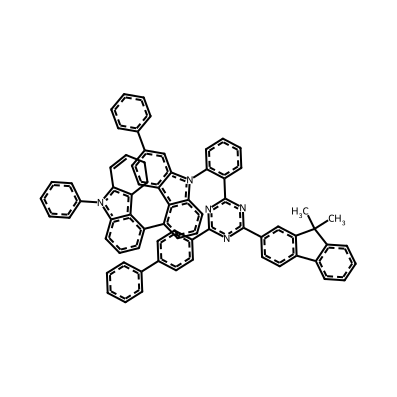 CC1(C)c2ccccc2-c2ccc(-c3nc(-c4ccc(-c5ccccc5)cc4)nc(-c4ccccc4-n4c5cc(-c6ccccc6)ccc5c5c(-c6cccc7c6c6c(n7-c7ccccc7)C=CCC6)cccc54)n3)cc21